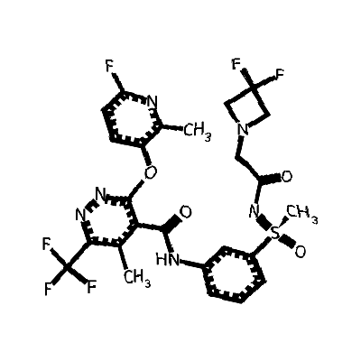 Cc1nc(F)ccc1Oc1nnc(C(F)(F)F)c(C)c1C(=O)Nc1cccc([S@@](C)(=O)=NC(=O)CN2CC(F)(F)C2)c1